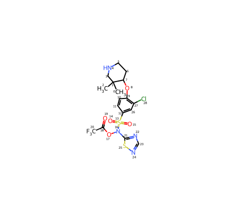 CC1(C)CNCCC1Oc1ccc(S(=O)(=O)N(OC(=O)C(F)(F)F)c2ncns2)cc1Cl